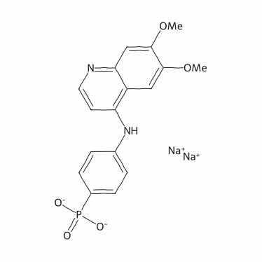 COc1cc2nccc(Nc3ccc(P(=O)([O-])[O-])cc3)c2cc1OC.[Na+].[Na+]